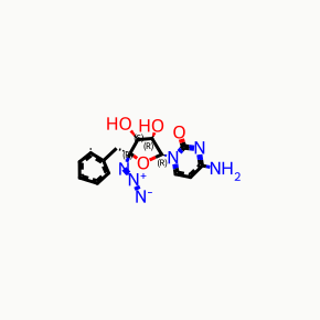 [N-]=[N+]=N[C@]1(Cc2[c]cccc2)O[C@@H](n2ccc(N)nc2=O)[C@H](O)[C@@H]1O